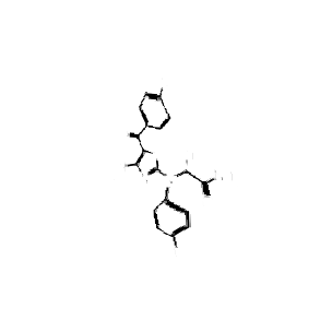 C[C@@H](C(N)=O)N(c1ccc(F)cc1)c1nc(N)c(C(=O)c2ccc(Cl)cc2)s1